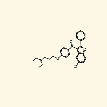 CCN(CC)CCCOc1ccc(C(=O)c2c(-c3ccccc3)oc3ccc(Cl)cc23)cc1